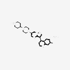 COc1cc2c(-c3cnn4cc(N5CCN(C6CCNCC6)CC5)cnc34)ccnc2cc1F